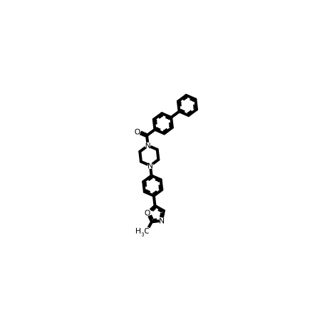 Cc1ncc(-c2ccc(N3CCN(C(=O)c4ccc(-c5ccccc5)cc4)CC3)cc2)o1